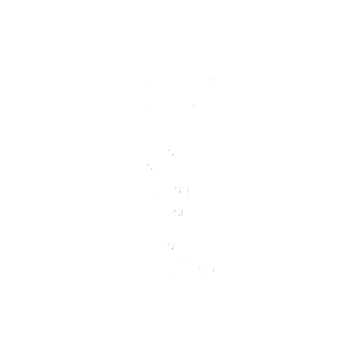 CC(Oc1cccc(-c2ncc(NC(=O)NC3CCCN(C(=O)OC(C)(C)C)C3)cn2)c1)c1c(Cl)ccc(F)c1Cl